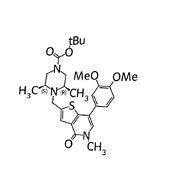 COc1ccc(-c2cn(C)c(=O)c3cc(CN4[C@H](C)CN(C(=O)OC(C)(C)C)C[C@@H]4C)sc23)cc1OC